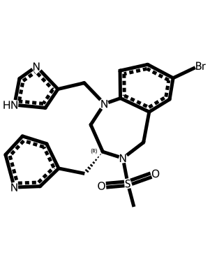 CS(=O)(=O)N1Cc2cc(Br)ccc2N(Cc2c[nH]cn2)C[C@H]1Cc1cccnc1